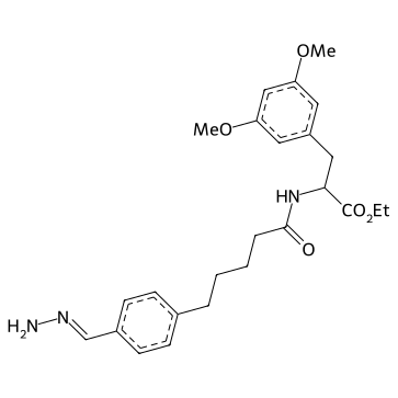 CCOC(=O)C(Cc1cc(OC)cc(OC)c1)NC(=O)CCCCc1ccc(C=NN)cc1